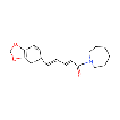 O=C(/C=C/C=C/C1C=CC2=C(C1)OCO2)N1CCCCCC1